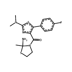 CN(C)c1nc(C(=O)N2CCSC2(C)N)c(-c2ccc(F)cc2)s1